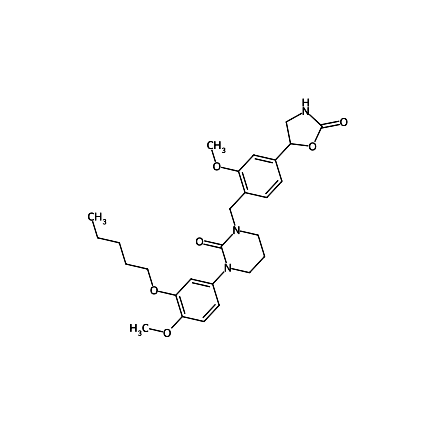 CCCCCOc1cc(N2CCCN(Cc3ccc(C4CNC(=O)O4)cc3OC)C2=O)ccc1OC